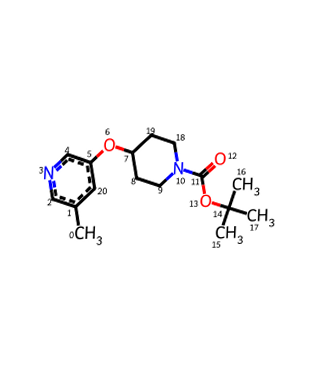 Cc1cncc(OC2CCN(C(=O)OC(C)(C)C)CC2)c1